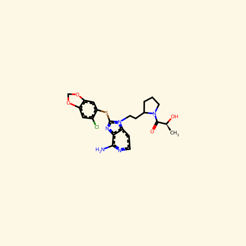 C[C@H](O)C(=O)N1CCCC1CCn1c(Sc2cc3c(cc2Cl)OCO3)nc2c(N)nccc21